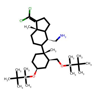 CC(C)(C)[Si](C)(C)OC[C@H]1C[C@@H](O[Si](C)(C)C(C)(C)C)CC[C@]1(C)C1CC[C@]2(C)C(=C(Cl)Cl)CCC2[C@@H]1CN